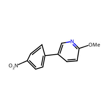 COc1ccc(-c2ccc([N+](=O)[O-])cc2)cn1